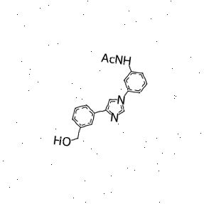 CC(=O)Nc1cccc(-n2cnc(-c3cccc(CO)c3)c2)c1